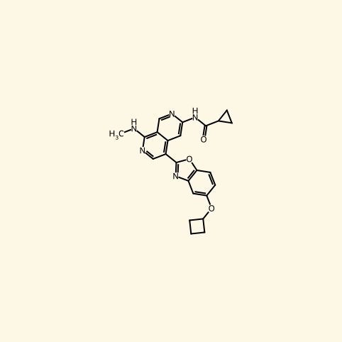 CNc1ncc(-c2nc3cc(OC4CCC4)ccc3o2)c2cc(NC(=O)C3CC3)ncc12